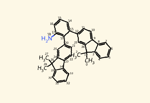 CC1(C)c2ccccc2-c2ccc(-c3cccc(N)c3-c3ccc4c(c3)C(C)(C)c3ccccc3-4)cc21